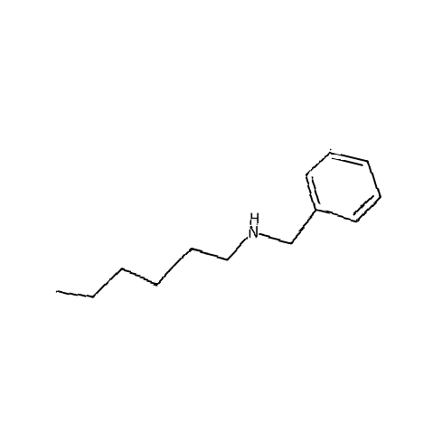 CCCCCCNCc1c[c]ccc1